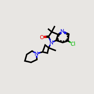 CC1(C)C(=O)N(C2(C)CC(N3CCCCC3)C2)c2cc(Cl)cnc21